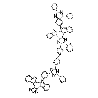 c1ccc(-c2nc(-c3ccc(-c4ccc(-c5nc6c(nc5-c5ccccc5)c5c7ccccc7n(-c7ccc8nc(-c9ccccc9)nc(-c9ccccc9)c8c7)c5c5sc7ccccc7c65)cc4)cc3)nc(-c3cccc(-n4c5ccccc5c5c6nsnc6c6c7ccccc7sc6c54)c3)n2)cc1